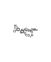 Cc1ccc(-c2ncc(OCC(=O)O)c(N3CCC(CNC(=O)OC(C)(C)C)C3)n2)cc1Cl